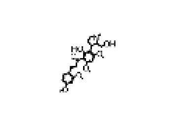 COc1ccc(C=CC(=O)c2c(OC)cc(OC)c(C3CCN(C)C3CO)c2O)c(OC)c1